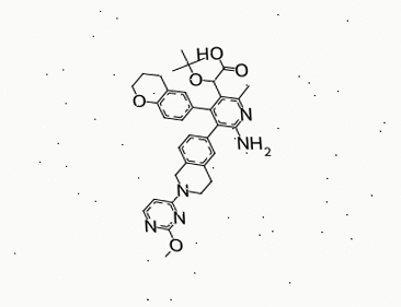 COc1nccc(N2CCc3cc(-c4c(N)nc(C)c(C(OC(C)(C)C)C(=O)O)c4-c4ccc5c(c4)CCCO5)ccc3C2)n1